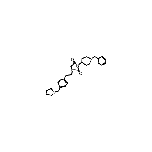 O=C1CN(CCc2ccc(CN3CCCC3)cc2)C(=O)N1C1CCN(Cc2ccccc2)CC1